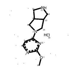 COc1nccc(N2CC3CNCC3C2)n1.Cl